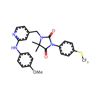 COc1ccc(Nc2cc(CN3C(=O)N(c4ccc(SC(F)(F)F)cc4)C(=O)C3(C)C)ccn2)cc1